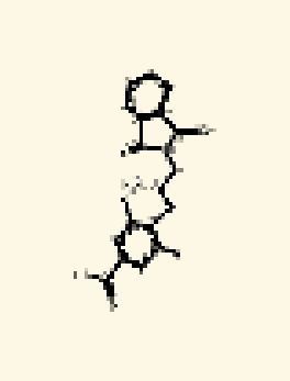 Cc1cc(C(N)=O)cc(C)c1C[C@H](N)CN1C(=O)c2ccccc2C1=O